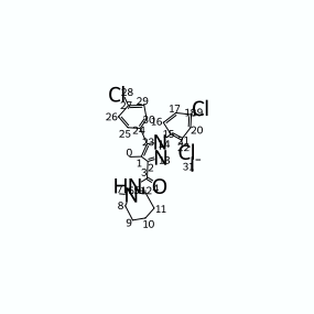 Cc1c(C(=O)N[N+]2(C)CCCCC2)nn(-c2ccc(Cl)cc2Cl)c1-c1ccc(Cl)cc1.[I-]